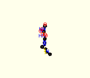 O=C(NS(=O)(=O)c1ccc(NCC2CCOCC2)c([N+](=O)[O-])c1)c1ccc(N2CCN(Cc3ccccc3-c3ccc(-c4nc(-c5ccccc5)cs4)s3)CC2)cc1